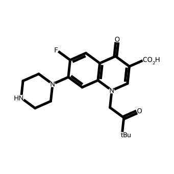 CC(C)(C)C(=O)Cn1cc(C(=O)O)c(=O)c2cc(F)c(N3CCNCC3)cc21